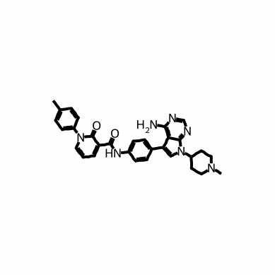 Cc1ccc(-n2cccc(C(=O)Nc3ccc(-c4cn(C5CCN(C)CC5)c5ncnc(N)c45)cc3)c2=O)cc1